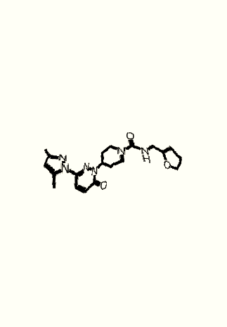 Cc1cc(C)n(-c2ccc(=O)n(C3CCN(C(=O)NCC4CCCO4)CC3)n2)n1